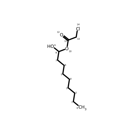 CCCCCCCCC(O)OC(=O)CCl